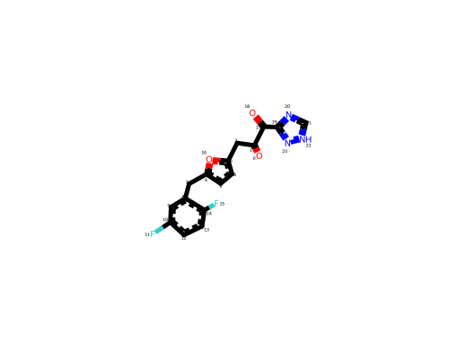 O=C(Cc1ccc(Cc2cc(F)ccc2F)o1)C(=O)c1nc[nH]n1